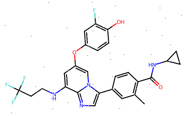 Cc1cc(-c2cnc3c(NCCC(F)(F)F)cc(Oc4ccc(O)c(F)c4)cn23)ccc1C(=O)NC1CC1